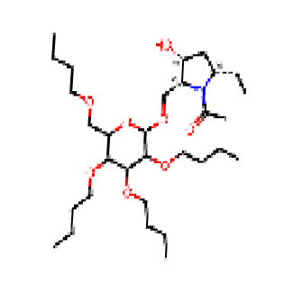 CCCCOCC1OC(OC[C@H]2[C@H](O)C[C@H](CC)N2C(C)=O)C(OCCCC)C(OCCCC)C1OCCCC